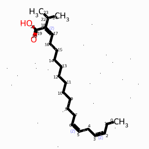 CC/C=C\C/C=C\CCCCCCCCCC/C=C(\C(=O)O)C(C)C